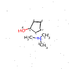 CN(C)C.OC1CCCC1